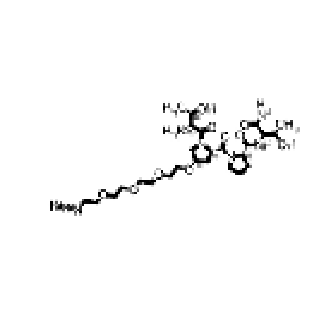 C[C@@H](O)[C@H](N)C(=O)N1C[C@H](OCCOCCOCCOCCN=[N+]=[N-])C[C@H]1C(=O)N1CCC[C@H]1C(=O)N[C@H](C(N)=O)[C@@H](C)O